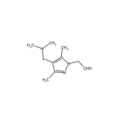 Cc1nn(CC=O)c(C)c1SN(C)C